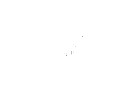 [B](n1ccnc1)n1ccnc1